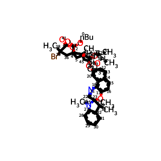 CCCCOC(=O)C(CC(C)C(=O)Oc1ccc2ccc3c(c2c1)N=CC1(O3)N(C)c2ccccc2C1(C)C)CC(C)(Br)C(=O)OCCC[Si](C)(C)O[Si](C)(C)C